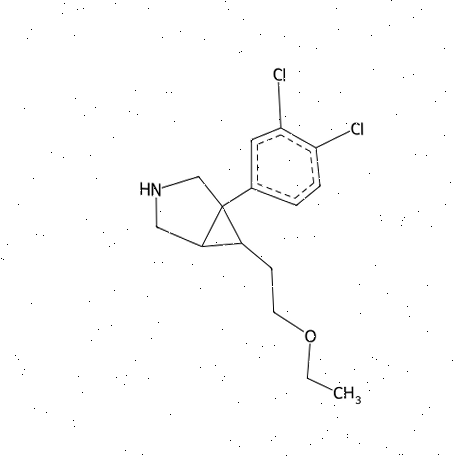 CCOCCC1C2CNCC12c1ccc(Cl)c(Cl)c1